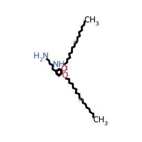 CCCCCCCC/C=C/CCCCCCCCOc1ccc(CC(N)CCCN)cc1OCCCCCCCC/C=C/CCCCCCCC